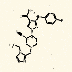 CCn1ccnc1CN1CC[C@H](n2cc(C(N)=O)c(Nc3ccc(F)cc3)n2)[C@H](C#N)C1